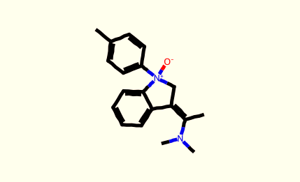 CC(=C1C[N+]([O-])(c2ccc(C)cc2)c2ccccc21)N(C)C